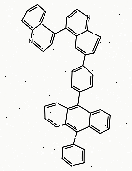 c1ccc(-c2c3ccccc3c(-c3ccc(-c4ccc5nccc(-c6ccnc7ccccc67)c5c4)cc3)c3ccccc23)cc1